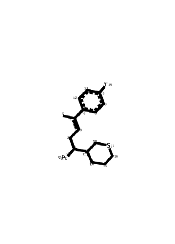 CCC[C](CC=C(C)c1ccc(F)cc1)C1CCCSC1